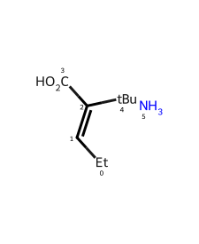 CCC=C(C(=O)O)C(C)(C)C.N